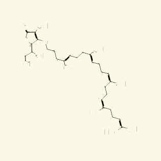 CC(C)=CCCC(C)=CCCC(C)=CCCC=C(C)CCC=C(C)CCCOC1=C(O)C(=O)OC1C(O)CO